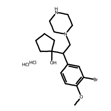 COc1ccc(C(CN2CCNCC2)C2(O)CCCC2)cc1Br.Cl.Cl